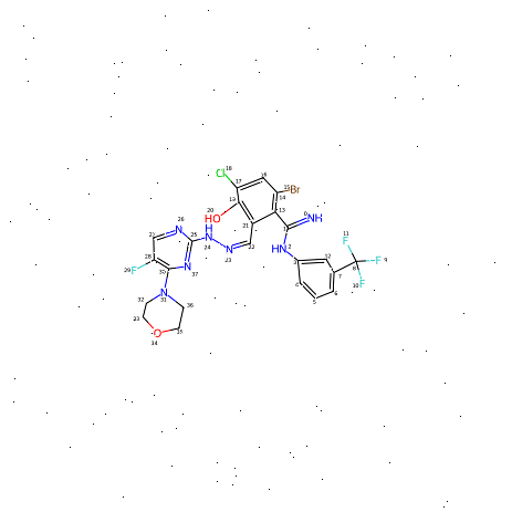 N=C(Nc1cccc(C(F)(F)F)c1)c1c(Br)cc(Cl)c(O)c1/C=N\Nc1ncc(F)c(N2CCOCC2)n1